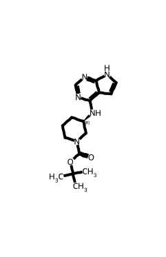 CC(C)(C)OC(=O)N1CCC[C@@H](Nc2ncnc3[nH]ccc23)C1